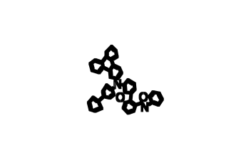 c1ccc(-c2ccc(N(c3ccc4c5ccccc5c5ccccc5c4c3)c3cccc4c3oc3cccc(-c5nc6ccccc6o5)c34)cc2)cc1